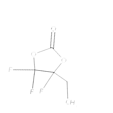 CCC1(F)OC(=O)OC1(F)F